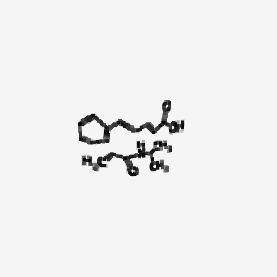 C=CC(=O)NC(C)C.O=C(O)C=CC=Cc1ccccc1